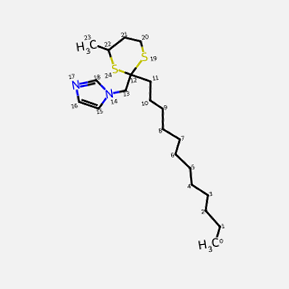 CCCCCCCCCCCCC1(Cn2ccnc2)SCCC(C)S1